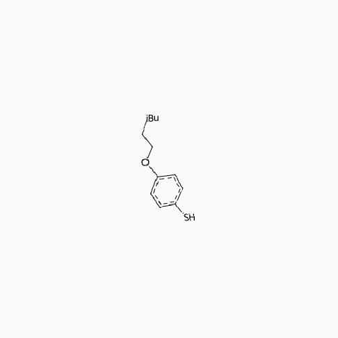 CCC(C)CCOc1ccc(S)cc1